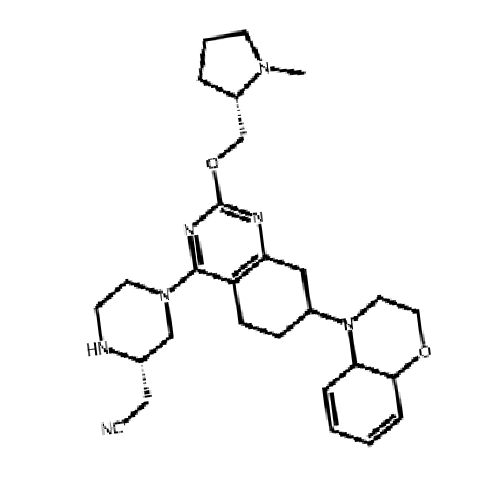 CN1CCC[C@H]1COc1nc2c(c(N3CCN[C@@H](CC#N)C3)n1)CCC(N1CCOC3C=CC=CC31)C2